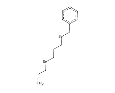 [CH2]CC[Se]CCC[Se]Cc1ccccc1